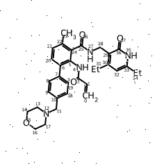 C=CC(=O)Nc1c(-c2ccc(CN3CCOCC3)cc2)ccc(C)c1C(=O)NCc1c(CC)cc(CC)[nH]c1=O